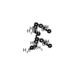 Cc1ccc(CN(C)C[C@H]2Cc3c(cc(Cc4cccnc4CN(C)C[C@H]4Cc5c(cccc5N5CCC(NC(=O)OCc6ccccc6)CC5)CN4)cc3N3CCC(NC(=O)OCc4ccccc4)CC3)CN2)nc1